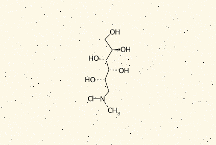 CN(Cl)C[C@H](O)[C@@H](O)[C@H](O)[C@H](O)CO